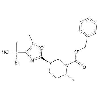 CC[C@@](C)(O)c1nc([C@@H]2CC[C@@H](C)N(C(=O)OCc3ccccc3)C2)oc1C